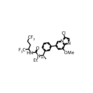 CCN(C(=O)NC(CCC(F)(F)F)C(F)(F)F)[C@H](C)c1cccc(-c2cc(OC)c3ncc(Cl)n3c2)c1